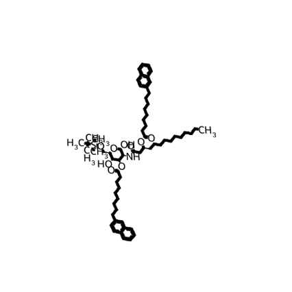 CCCCCCCCCCC[C@@H](CC(=O)N[C@H]1C(O)O[C@H](CO[Si](C)(C)C(C)(C)C)[C@@H](O)[C@@H]1OC(=O)CCCCCCCCc1ccc2ccccc2c1)OC(=O)CCCCCCCCc1ccc2ccccc2c1